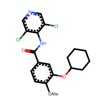 COc1ccc(C(=O)Nc2c(Cl)cncc2Cl)cc1OC1CCCCC1